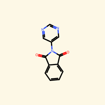 O=C1c2ccccc2C(=O)N1c1cncnc1